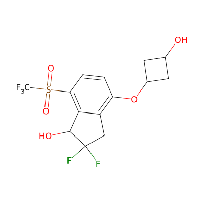 O=S(=O)(c1ccc(OC2CC(O)C2)c2c1C(O)C(F)(F)C2)C(F)(F)F